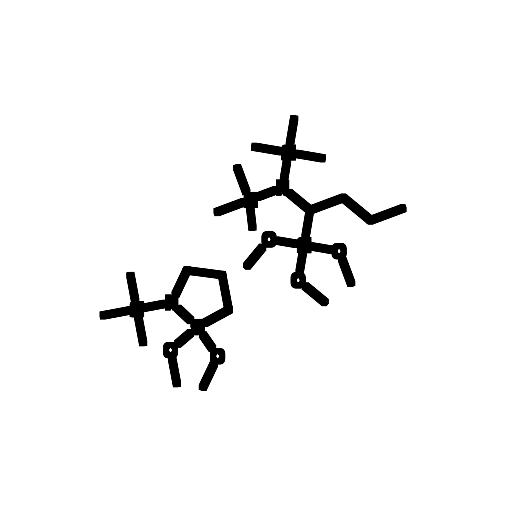 CCCC(N([Si](C)(C)C)[Si](C)(C)C)[Si](OC)(OC)OC.CO[Si]1(OC)CCCN1[Si](C)(C)C